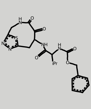 CC(C)C(NC(=O)OCc1ccccc1)C(=O)NC1Cc2nnc(s2)CNC(=O)C1=O